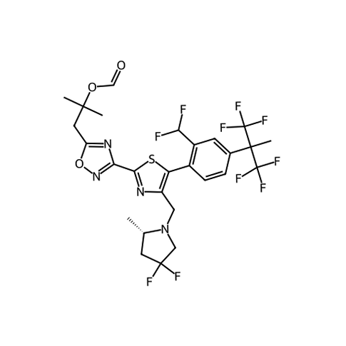 C[C@H]1CC(F)(F)CN1Cc1nc(-c2noc(CC(C)(C)OC=O)n2)sc1-c1ccc(C(C)(C(F)(F)F)C(F)(F)F)cc1C(F)F